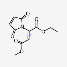 CCOC(=O)/C(=C/C(=O)OC)N1C(=O)C=CC1=O